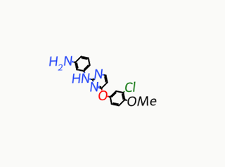 COc1ccc(Oc2ccnc(Nc3cccc(N)c3)n2)cc1Cl